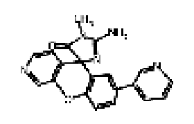 CN1C(=O)C2(N=C1N)c1ccncc1Oc1ccc(-c3cccnc3)cc12